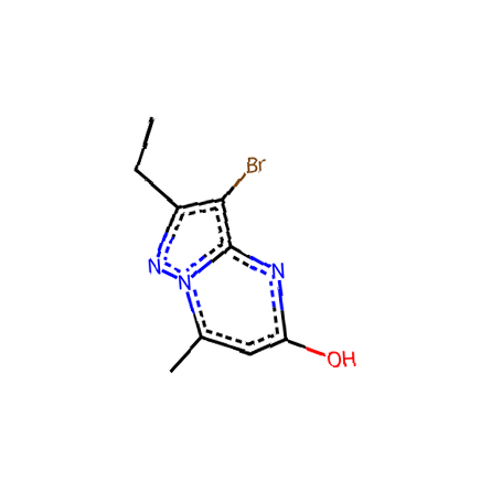 CCc1nn2c(C)cc(O)nc2c1Br